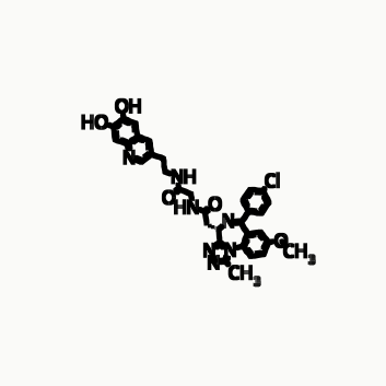 COc1ccc2c(c1)C(c1ccc(Cl)cc1)=N[C@@H](CC(=O)NCC(=O)NCCc1cnc3cc(O)c(O)cc3c1)c1nnc(C)n1-2